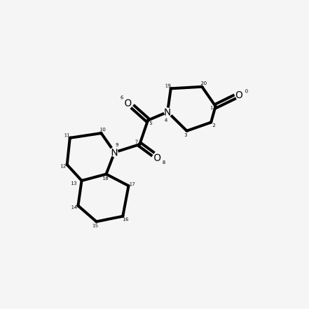 O=C1CCN(C(=O)C(=O)N2CCCC3CCCCC32)CC1